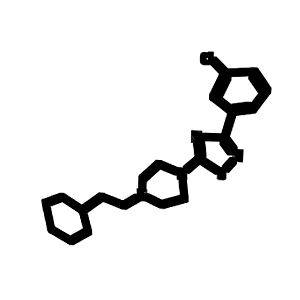 Clc1cccc(-c2nsc(N3CCN(CCC4CCCCC4)CC3)n2)c1